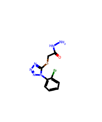 NNC(=O)CSc1nnnn1-c1ccccc1Br